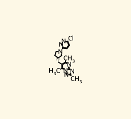 Cc1nc2nc(C)c(C[C@@H]3CCN(c4ccc(Cl)nn4)C3)c(C)n2n1